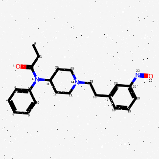 CCC(=O)N(c1ccccc1)C1CCN(CCc2cccc(N=O)c2)CC1